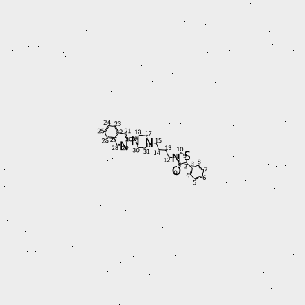 O=C1C(c2ccccc2)SCN1CCCCN1CCN(c2cc3ccccc3cn2)CC1